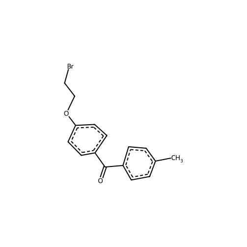 Cc1ccc(C(=O)c2ccc(OCCBr)cc2)cc1